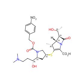 C[C@@H](O)[C@H]1C(=O)N2C(C(=O)O)=C(S[C@H]3C[C@@H]([C@H](O)CCN(C)C)N(C(=O)OCc4ccc([N+](=O)[O-])cc4)C3)[C@H](C)[C@H]12